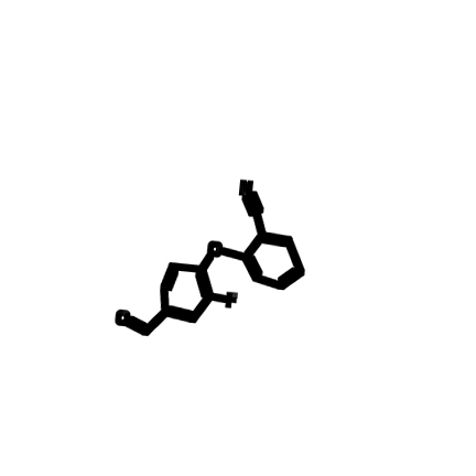 N#Cc1ccccc1Oc1ccc(C=O)cc1F